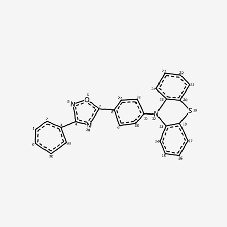 c1ccc(-c2noc(-c3ccc(N4c5ccccc5Sc5ccccc54)cc3)n2)cc1